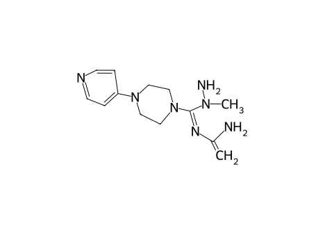 C=C(N)/N=C(\N(C)N)N1CCN(c2ccncc2)CC1